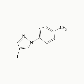 FC(F)(F)c1ccc(-n2cc(I)cn2)cc1